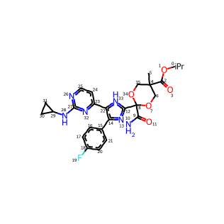 CC(C)OC(=O)C1(C)COC(C(N)=O)(c2nc(-c3ccc(F)cc3)c(-c3ccnc(NC4CC4)n3)[nH]2)OC1